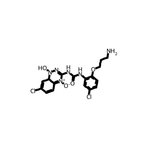 NCCCOc1ccc(Cl)cc1NC(=O)NC1=NN(O)C2C=C(Cl)C=CC2=[N+]1[O-]